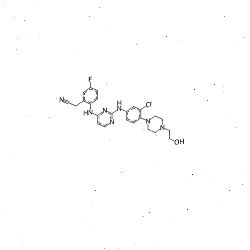 N#CCc1cc(F)ccc1Nc1ccnc(Nc2ccc(N3CCN(CCO)CC3)c(Cl)c2)n1